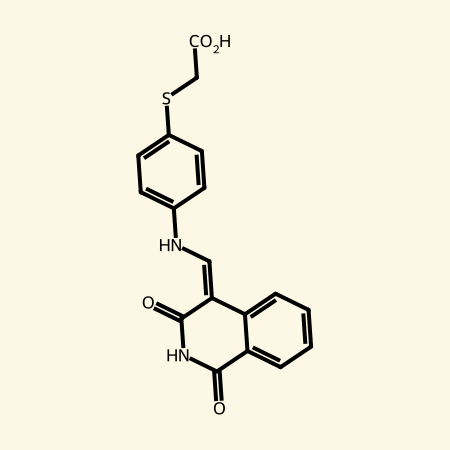 O=C(O)CSc1ccc(N/C=C2\C(=O)NC(=O)c3ccccc32)cc1